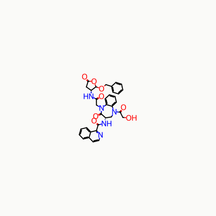 O=C(CN1C(=O)[C@@H](NC(=O)c2nccc3ccccc23)CN(C(=O)CO)c2ccccc21)N[C@H]1CC(=O)OC1OCc1ccccc1